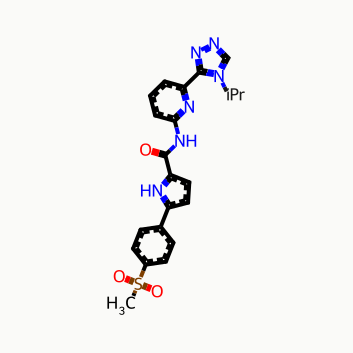 CC(C)n1cnnc1-c1cccc(NC(=O)c2ccc(-c3ccc(S(C)(=O)=O)cc3)[nH]2)n1